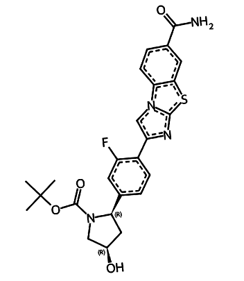 CC(C)(C)OC(=O)N1C[C@H](O)C[C@@H]1c1ccc(-c2cn3c(n2)sc2cc(C(N)=O)ccc23)c(F)c1